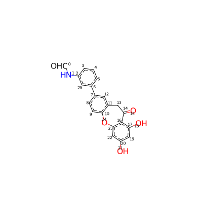 O=CNc1cccc(-c2ccc3c(c2)CC(=O)c2c(O)cc(O)cc2O3)c1